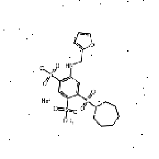 NS(=O)(=O)c1cc(S(=O)(=O)[O-])c(NCc2ccco2)cc1S(=O)(=O)C1CCCCCC1.[Na+]